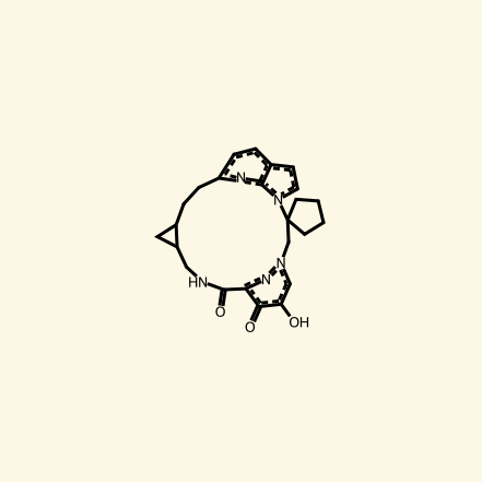 O=C1NCC2CC2CCc2ccc3ccn(c3n2)C2(CCCC2)Cn2cc(O)c(=O)c1n2